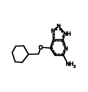 Nc1cc(OCC2CCCCC2)c2nn[nH]c2n1